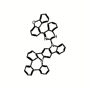 c1ccc2c(c1)-c1ccccc1-n1c3cc4c5ccccc5n(-c5nc(-c6cccc7oc8ccccc8c67)c6ccccc6n5)c4cc3c3cccc-2c31